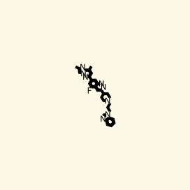 Cc1cn2nc(-c3cc(F)c4cc(C5CCN(CCCn6cnc7ccccc76)CC5)nnc4c3)cc(C)c2n1